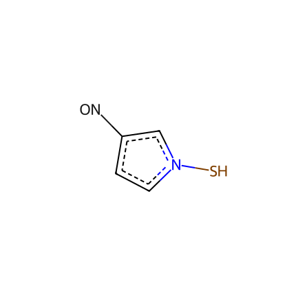 O=Nc1ccn(S)c1